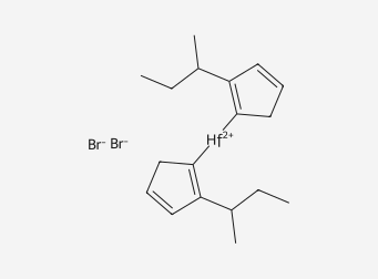 CCC(C)C1=[C]([Hf+2][C]2=C(C(C)CC)C=CC2)CC=C1.[Br-].[Br-]